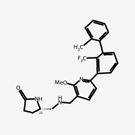 COc1nc(-c2cccc(-c3ccccc3C)c2C(F)(F)F)ccc1CNC[C@@H]1CCC(=O)N1